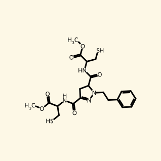 COC(=O)C(CS)NC(=O)C1=NN(CCc2ccccc2)C(C(=O)NC(CS)C(=O)OC)C1